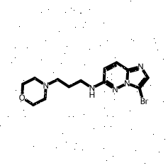 Brc1cnc2ccc(NCCCN3CCOCC3)nn12